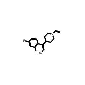 O=CN1CCC(C(=NO)c2ccc(F)cc2F)CC1